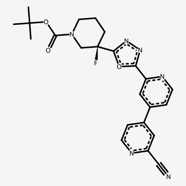 CC(C)(C)OC(=O)N1CCC[C@](F)(c2nnc(-c3cc(-c4ccnc(C#N)c4)ccn3)o2)C1